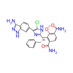 COc1c(C(N)=O)ccc(C(N)=O)c1[C@H](Cc1ccccc1)c1nc(-c2ccc3c(N)n[nH]c3c2)c(Cl)[nH]1